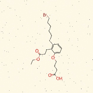 CCOC(=O)CCc1c(CCCCCCBr)cccc1OCCCC(=O)O